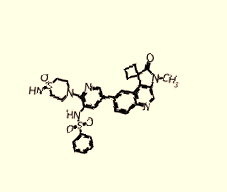 CN1C(=O)C2(CCC2)c2c1cnc1ccc(-c3cnc(N4CCS(=N)(=O)CC4)c(NS(=O)(=O)c4ccccc4)c3)cc21